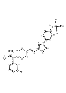 CN(C)C(c1cccc(F)c1)C1CCC(C=Cc2nc(-c3ccc(OC(F)(F)F)cc3)no2)CC1